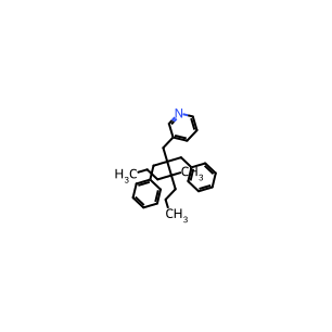 CCCC(C)(CCC)C(Cc1ccccc1)(Cc1ccccc1)Cc1cccnc1